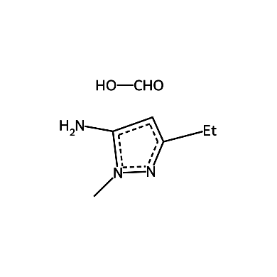 CCc1cc(N)n(C)n1.O=CO